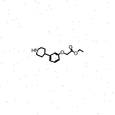 CCOC(=O)COc1cccc(C2CCNCC2)c1